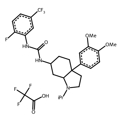 COc1ccc(C23CCC(NC(=O)Nc4cc(C(F)(F)F)ccc4F)CC2N(C(C)C)CC3)cc1OC.O=C(O)C(F)(F)F